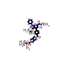 CSNC(=O)c1cc(-c2ccc(C(=O)N3CC4CN(C(=O)OC(C)(C)C)CC4C3)cc2)c2c(OC(C)C)nn(C3CCCCC3)c2n1